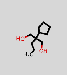 CCCC(CO)(CO)C1CCCC1